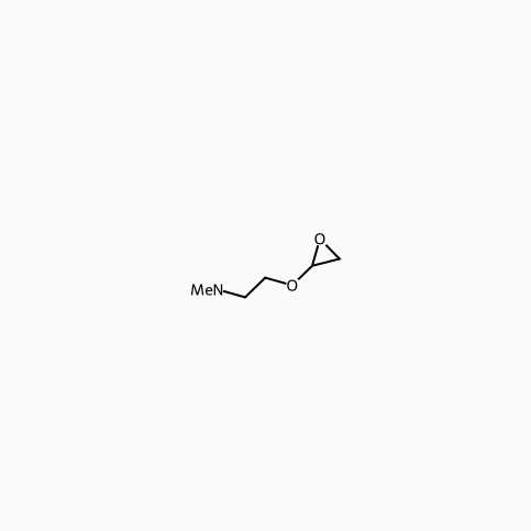 CNCCOC1CO1